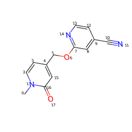 Cn1ccc(COc2cc(C#N)ccn2)cc1=O